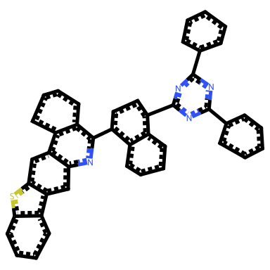 c1ccc(-c2nc(-c3ccccc3)nc(-c3ccc(-c4nc5cc6c(cc5c5ccccc45)sc4ccccc46)c4ccccc34)n2)cc1